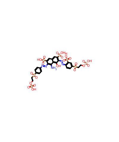 Nc1c(N=Nc2ccc(S(=O)(=O)CCOS(=O)(=O)O)cc2)c(S(=O)(=O)O)cc2cc(S(=O)(=O)O)c(N=Nc3ccc(S(=O)(=O)CCOS(=O)(=O)O)cc3S(=O)(=O)O)c(O)c12